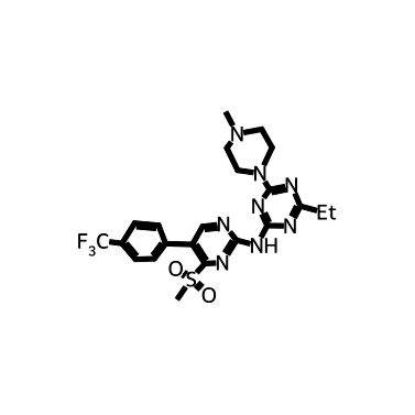 CCc1nc(Nc2ncc(-c3ccc(C(F)(F)F)cc3)c(S(C)(=O)=O)n2)nc(N2CCN(C)CC2)n1